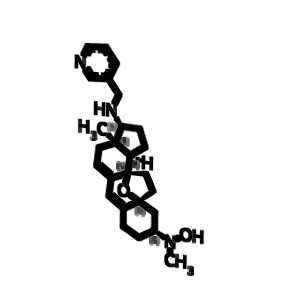 CN(O)[C@H]1CCC2=CC3=CC[C@]4(C)[C@@H](NCc5cccnc5)CC[C@H]4[C@@]34CC[C@]2(C1)O4